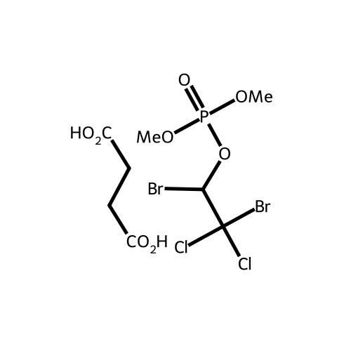 COP(=O)(OC)OC(Br)C(Cl)(Cl)Br.O=C(O)CCC(=O)O